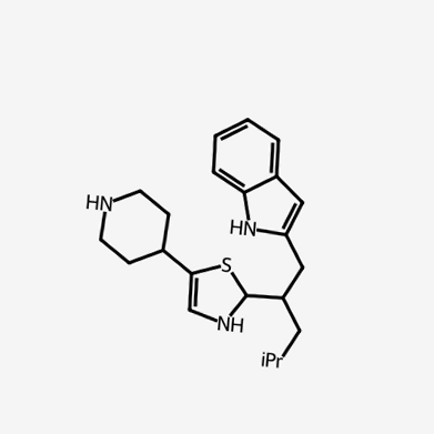 CC(C)CC(Cc1cc2ccccc2[nH]1)C1NC=C(C2CCNCC2)S1